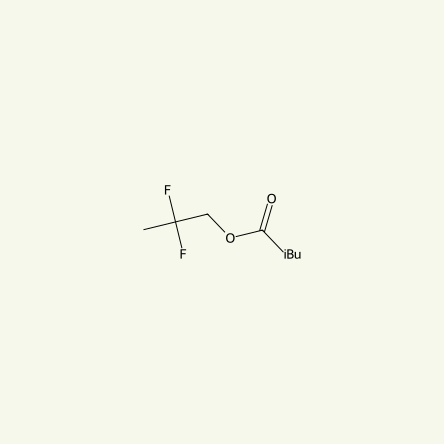 CCC(C)C(=O)OCC(C)(F)F